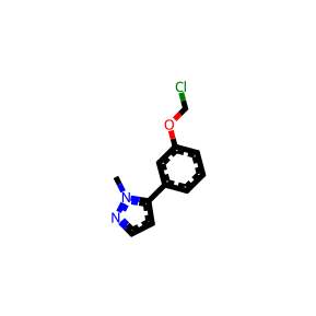 Cn1nccc1-c1cccc(OCCl)c1